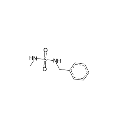 CNS(=O)(=O)NCc1ccccc1